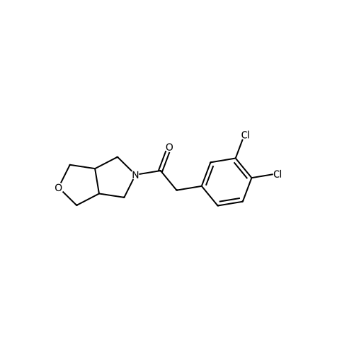 O=C(Cc1ccc(Cl)c(Cl)c1)N1CC2COCC2C1